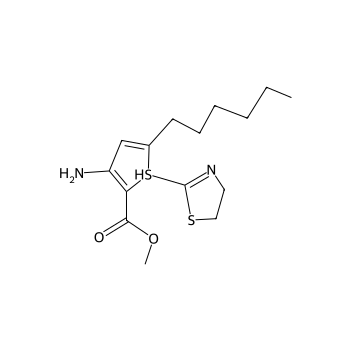 CCCCCCC1=CC(N)=C(C(=O)OC)[SH]1C1=NCCS1